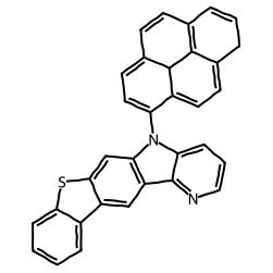 C1=CC2=C3C(=CC=C4C(n5c6cc7sc8ccccc8c7cc6c6ncccc65)=CC=C(C=C2)C43)C1